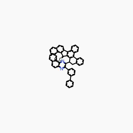 C=C1c2c3c(c4ccccc4c2-c2ccc4ccccc4c21)-c1ccccc1CC3c1nc2c(ccc3ccccc32)nc1-c1cccc(-c2ccccc2)c1